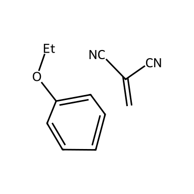 C=C(C#N)C#N.CCOc1ccccc1